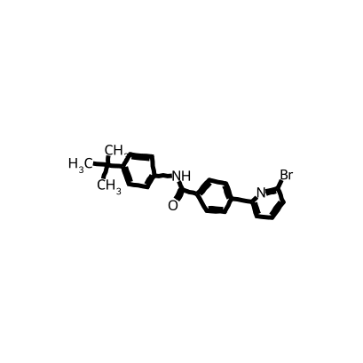 CC(C)(C)c1ccc(NC(=O)c2ccc(-c3cccc(Br)n3)cc2)cc1